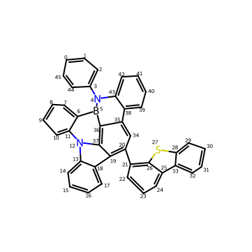 c1ccc(N2B3c4ccccc4-n4c5ccccc5c5c(-c6cccc7c6sc6ccccc67)cc(c3c54)-c3ccccc32)cc1